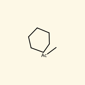 C1CCCCC1.CC(C)=O